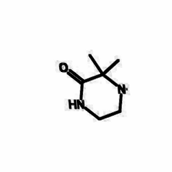 CC1(C)[N]CCNC1=O